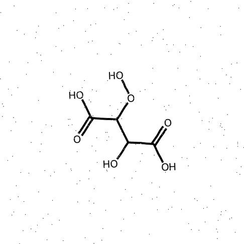 O=C(O)C(O)C(OO)C(=O)O